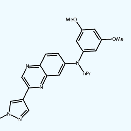 CCCN(c1cc(OC)cc(OC)c1)c1ccc2ncc(-c3cnn(C)c3)nc2c1